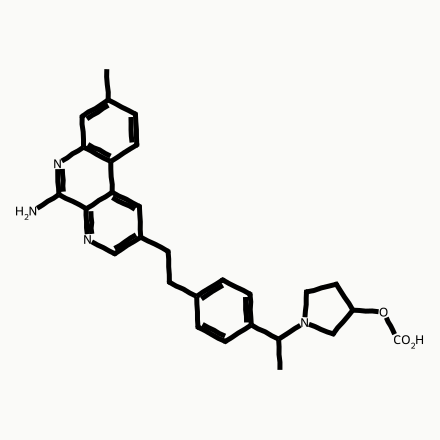 Cc1ccc2c(c1)nc(N)c1ncc(CCc3ccc(C(C)N4CCC(OC(=O)O)C4)cc3)cc12